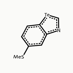 CSc1ccc2[te]cnc2c1